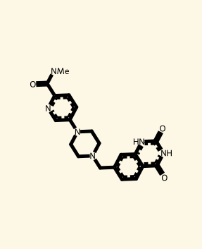 CNC(=O)c1ccc(N2CCN(Cc3ccc4c(=O)[nH]c(=O)[nH]c4c3)CC2)cn1